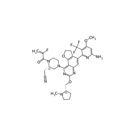 C=C(F)C(=O)N1CCN(c2nc(OC[C@@H]3CCCN3C)nc3cc(-c4nc(N)cc(OC)c4C(F)(F)F)c4c(c23)OCC4)C[C@@H]1CC#N